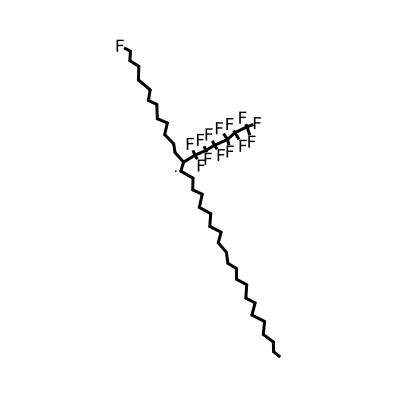 CCCCCCCCCCCCCCCCCCCCC[CH]C(CCCCCCCCCCCCF)C(F)(F)C(F)(F)C(F)(F)C(F)(F)C(F)(F)C(F)(F)F